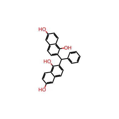 Oc1ccc2c(O)c(C(c3ccccc3)c3ccc4cc(O)ccc4c3O)ccc2c1